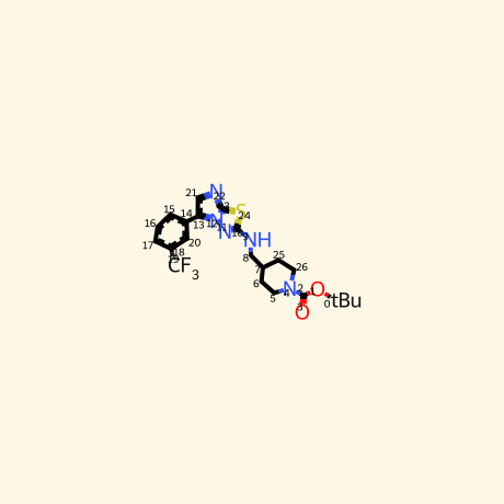 CC(C)(C)OC(=O)N1CCC(CNc2nn3c(-c4cccc(C(F)(F)F)c4)cnc3s2)CC1